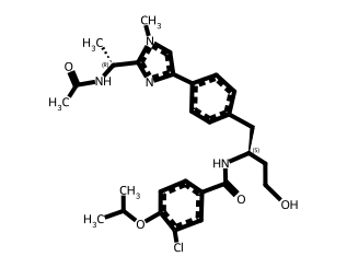 CC(=O)N[C@H](C)c1nc(-c2ccc(C[C@@H](CCO)NC(=O)c3ccc(OC(C)C)c(Cl)c3)cc2)cn1C